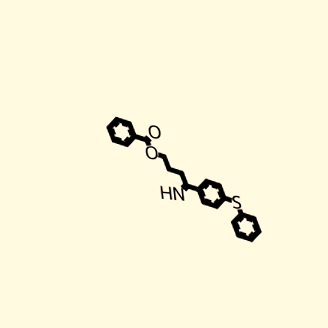 N=C(CCCOC(=O)c1ccccc1)c1ccc(Sc2ccccc2)cc1